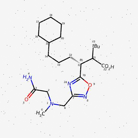 CN(CC(N)=O)Cc1noc([C@H](CCCC2CCCCC2)C(C(=O)O)C(C)(C)C)n1